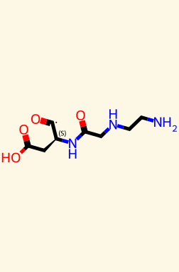 NCCNCC(=O)N[C@H]([C]=O)CC(=O)O